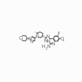 COc1cc2nc(N)n3nc([C@H]4CC[C@@H](C)N(c5cnn(C6CCOCC6)c5)C4)nc3c2cc1F